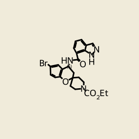 CCOC(=O)N1CCC2(CC1)C[C@H](NC(=O)c1cccc3cn[nH]c13)c1cc(Br)ccc1O2